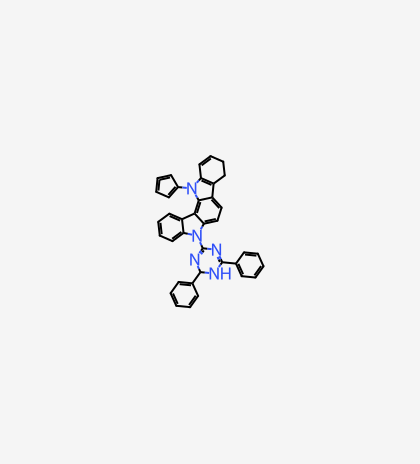 C1=CC=C(n2c3c(c4ccc5c(c6ccccc6n5C5=NC(c6ccccc6)NC(c6ccccc6)=N5)c42)CCC=C3)C=1